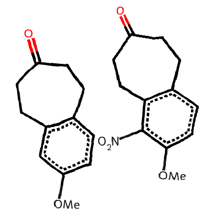 COc1ccc2c(c1)CCC(=O)CC2.COc1ccc2c(c1[N+](=O)[O-])CCC(=O)CC2